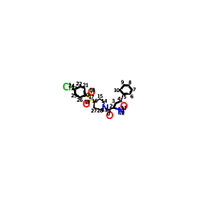 O=C(c1cc(-c2ccccc2)on1)N1CCC(S(=O)(=O)c2ccc(Cl)cc2)CC1